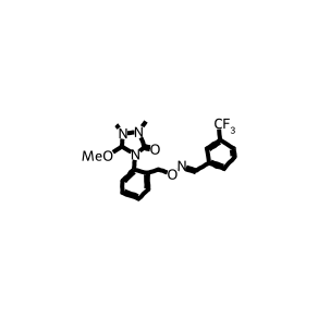 COC1N(c2ccccc2CO/N=C/c2cccc(C(F)(F)F)c2)C(=O)N(C)N1C